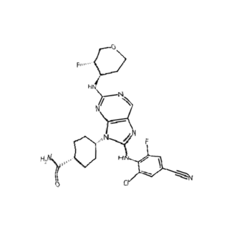 N#Cc1cc(F)c(Nc2nc3cnc(N[C@@H]4CCOC[C@H]4F)nc3n2[C@H]2CC[C@@H](C(N)=O)CC2)c(Cl)c1